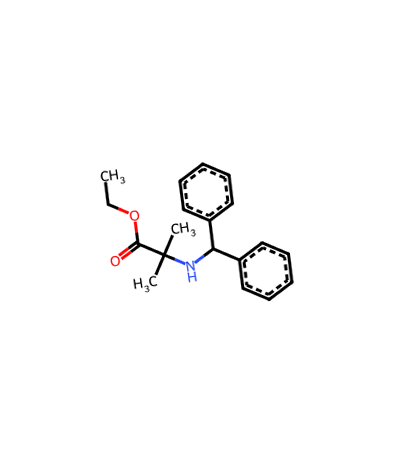 CCOC(=O)C(C)(C)NC(c1ccccc1)c1ccccc1